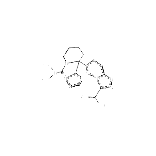 CC(C)c1nnc2ccc(C3(c4nccs4)CCCCN3C(=O)N(C)C)nn12